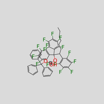 CCCCCCC(c1c(F)c(F)c(F)c(F)c1F)C(OB(O)OC(c1ccccc1)(c1ccccc1)c1ccccc1)(c1c(F)c(F)c(F)c(F)c1F)c1c(F)c(F)c(F)c(F)c1F